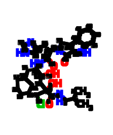 CC(C)CNC(=O)[C@](O)(CCl)C[C@H](O)[C@H](CC1CCCCC1)NC(=O)[C@H](Cc1c[nH]cn1)N1Cc2c([nH]c3ccccc23)C1=O